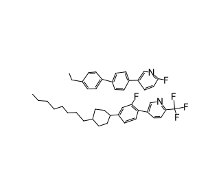 CCCCCCCCC1CCC(c2ccc(-c3ccc(C(F)(F)F)nc3)c(F)c2)CC1.CCc1ccc(-c2ccc(-c3ccc(F)nc3)cc2)cc1